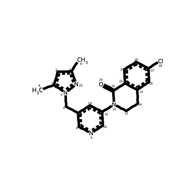 Cc1cc(C)n(Cc2cncc(N3CCc4cc(Cl)ccc4C3=O)c2)n1